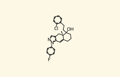 C[C@]12Cc3cnn(-c4ccc(F)cc4)c3C=C1CCC[C@@]2(O)CCc1ccccc1Cl